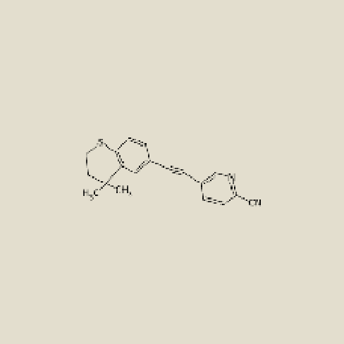 CC1(C)CCSc2ccc(C#Cc3ccc(C#N)nc3)cc21